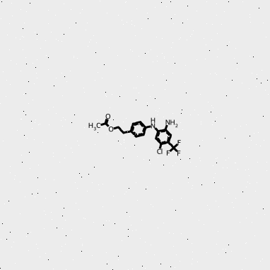 CC(=O)OCCc1ccc(Nc2cc(Cl)c(C(F)(F)F)cc2N)cc1